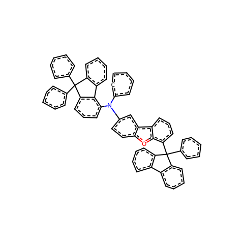 c1ccc(N(c2ccc3oc4c(C5(c6ccccc6)c6ccccc6-c6ccccc65)cccc4c3c2)c2cccc3c2-c2ccccc2C3(c2ccccc2)c2ccccc2)cc1